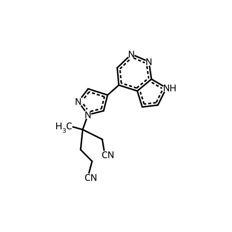 CC(CC#N)(CCC#N)n1cc(-c2cnnc3[nH]ccc23)cn1